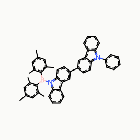 Cc1cc(C)c(B(c2c(C)cc(C)cc2C)n2c3ccccc3c3cc(-c4ccc5c(c4)c4ccccc4n5-c4ccccc4)ccc32)c(C)c1